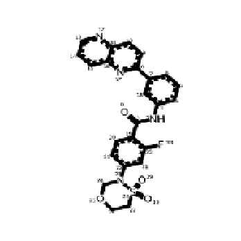 O=C(Nc1cccc(-c2ccc3ncccc3n2)c1)c1ccc(N2COCCS2(=O)=O)cc1F